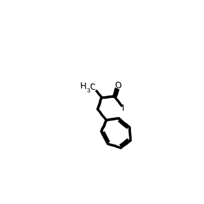 CC(CC1C=CC=CC=C1)C(=O)I